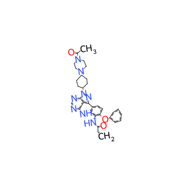 C=CC(=O)Nc1cc(-c2nn(C3CCC(N4CCN(C(C)=O)CC4)CC3)c3ncnc(N)c23)ccc1Oc1ccccc1